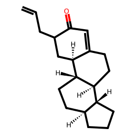 C=CCC1C[C@H]2C(=CC1=O)CC[C@H]1[C@@H]3CCC[C@H]3CC[C@@H]12